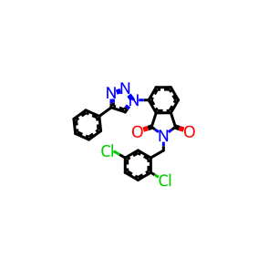 O=C1c2cccc(-n3cc(-c4ccccc4)nn3)c2C(=O)N1Cc1cc(Cl)ccc1Cl